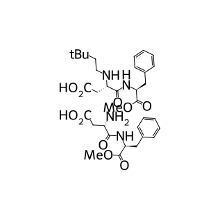 COC(=O)[C@H](Cc1ccccc1)NC(=O)[C@@H](N)CC(=O)O.COC(=O)[C@H](Cc1ccccc1)NC(=O)[C@H](CC(=O)O)NCCC(C)(C)C